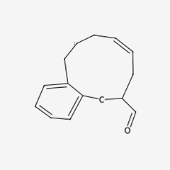 O=CC1C/C=C\C[C]Cc2ccccc2C1